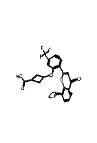 O=C1CC(c2ccc(C(F)(F)F)cc2OC2CC(C(=O)O)C2)Oc2c(Cl)cccc21